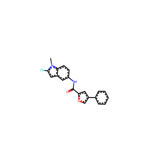 Cn1c(F)cc2cc(NC(=O)c3cc(-c4ccccc4)co3)ccc21